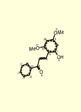 COc1cc(O)c(C=CC(=O)c2ccccc2)c(OC)c1